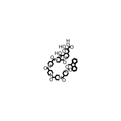 O=C(O)C(=CC1CCN(C(=O)C2CCN(C(=O)C3CCN(C(=O)C4CCN(C(=O)C5CCN(C(=O)C6CCN(C(=O)OCC7c8ccccc8-c8ccccc87)CC6)CC5)CC4)CC3)CC2)C(C(=O)O)C1)C(=O)O